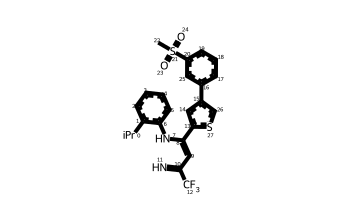 CC(C)c1ccccc1N/C(=C\C(=N)C(F)(F)F)c1cc(-c2cccc(S(C)(=O)=O)c2)cs1